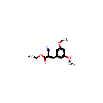 CCOC(=O)/C(C#N)=C/c1cc(OC)cc(OC)c1